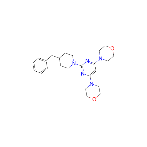 c1ccc(CC2CCN(c3nc(N4CCOCC4)cc(N4CCOCC4)n3)CC2)cc1